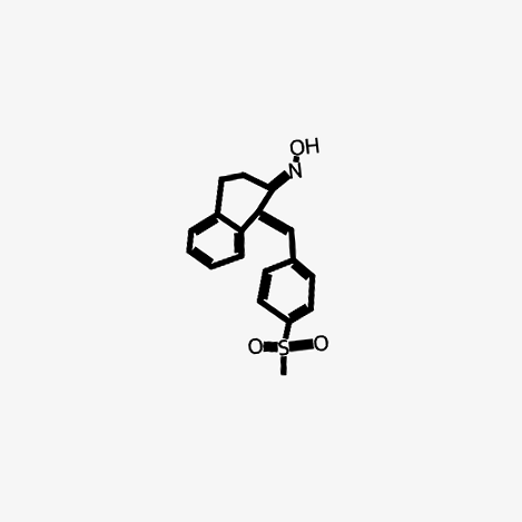 CS(=O)(=O)c1ccc(/C=C2/C(=NO)CCc3ccccc32)cc1